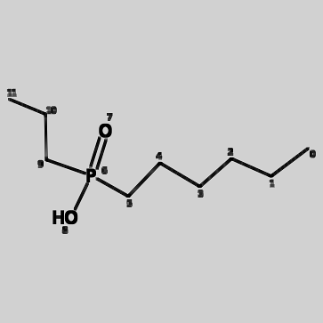 CCCCCCP(=O)(O)CCC